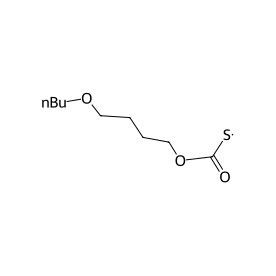 CCCCOCCCCOC(=O)[S]